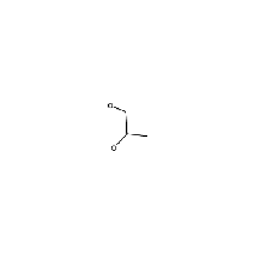 CC([O])C[O]